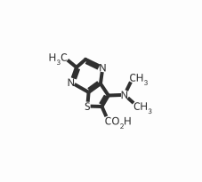 Cc1cnc2c(N(C)C)c(C(=O)O)sc2n1